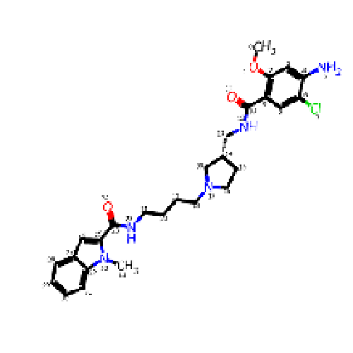 COc1cc(N)c(Cl)cc1C(=O)NC[C@@H]1CCN(CCCCNC(=O)c2cc3ccccc3n2C)C1